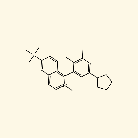 Cc1cc(C2CCCC2)cc(-c2c3ccc([Si](C)(C)C)cc3cc[n+]2C)c1C